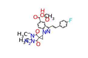 CCN(CC)C(=O)C1(C(N)=O)CC1n1nc(C=Cc2ccc(F)cc2)c2c(OC)c(C(=O)O)ccc21